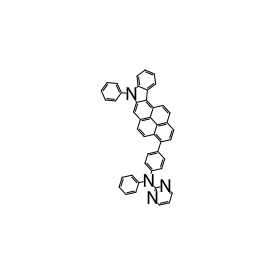 c1ccc(N(c2ccc(-c3ccc4ccc5c6c(ccc3c46)cc3c5c4ccccc4n3-c3ccccc3)cc2)c2ncccn2)cc1